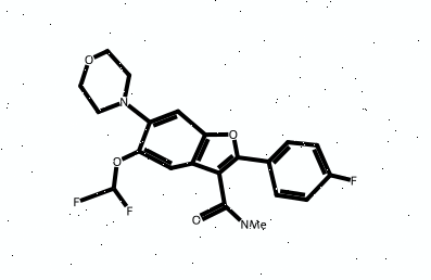 CNC(=O)c1c(-c2ccc(F)cc2)oc2cc(N3CCOCC3)c(OC(F)F)cc12